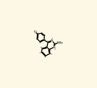 CC(C)(C)c1nc(-c2ccc(F)cc2)c2ccccc2n1